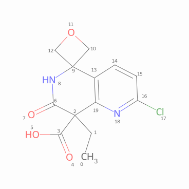 CCC1(C(=O)O)C(=O)NC2(COC2)c2ccc(Cl)nc21